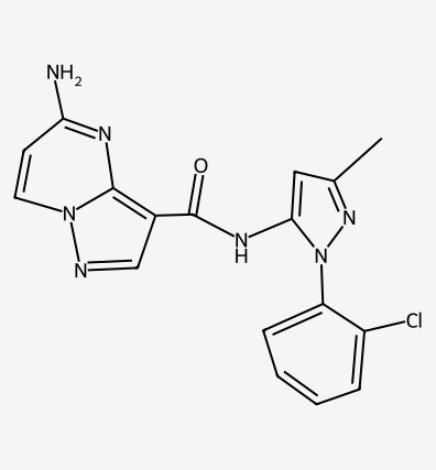 Cc1cc(NC(=O)c2cnn3ccc(N)nc23)n(-c2ccccc2Cl)n1